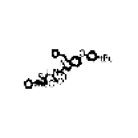 COC(=O)[C@H](Cc1ccc(C2CCCC2)s1)NC(=O)c1cc2ccc(Oc3ccc(C(C)(C)C)cc3)cc2c(CC2CCCC2)n1